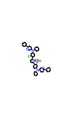 CC(C)(C)n1c(-c2ccc(N(c3ccccc3)c3ccc(-c4ccccc4)nc3)cc2F)ccc1-c1ccc(N(c2ccccc2)c2ccc(-c3ccccc3)nc2)cc1F